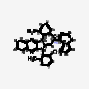 Cc1cccc(C)c1N1C(=C/C=c2/ncnc3c2=NC=C3)N(c2c(C)cccc2C)c2nc3ccccc3nc21